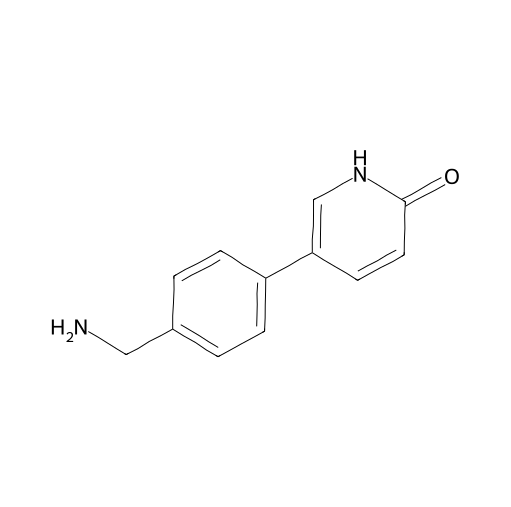 NCc1ccc(-c2ccc(=O)[nH]c2)cc1